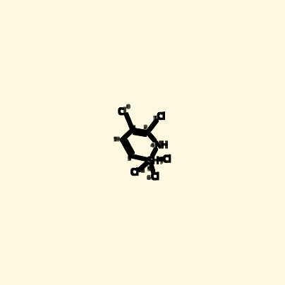 ClC1=C(Cl)N[SH](Cl)(Cl)(Cl)C=C1